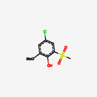 COc1cc(Cl)cc(S(C)(=O)=O)c1O